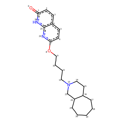 O=c1ccc2ccc(OCCCCN3CCC4CCCCCC4C3)nc2[nH]1